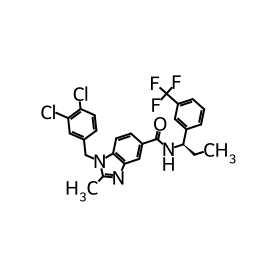 CC[C@@H](NC(=O)c1ccc2c(c1)nc(C)n2Cc1ccc(Cl)c(Cl)c1)c1cccc(C(F)(F)F)c1